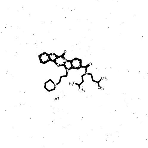 CC(C)CCN(CCC(C)C)C(=O)c1ccc2c(c1)n(CCCN1CCCCC1)c1nc3c(sc4ccccc43)c(=O)n21.Cl